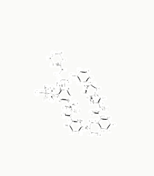 O=C(NS(=O)(=O)c1ccc(N[C@H](CCN2CCOCC2)CSc2ccccc2)c(S(=O)(=O)C(F)(F)Cl)c1)c1cccc(N2CCc3cccc(C(=O)Nc4cn5ccncc5n4)c3C2)n1